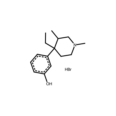 Br.CCC1(c2cccc(O)c2)CCN(C)CC1C